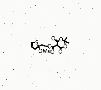 COC1(CCCC(=O)C2C(=O)OC(C)(C)OC2=O)CC=CS1